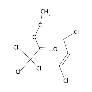 CCOC(=O)C(Cl)(Cl)Cl.Cl/C=C/CCl